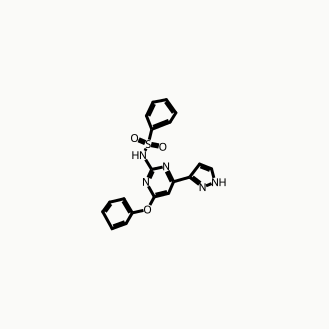 O=S(=O)(Nc1nc(Oc2ccccc2)cc(-c2cc[nH]n2)n1)c1ccccc1